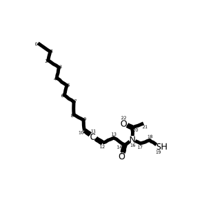 CCCCCCCCCCC=C=CCC(=O)N(CCS)C(C)=O